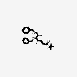 C[C@H](COCc1ccccc1)C(OCc1ccccc1)[C@@H](C)/C=C/C(=O)OC(C)(C)C